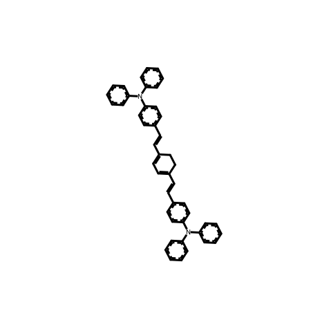 C1=C(/C=C/c2ccc(N(c3ccccc3)c3ccccc3)cc2)CCC(/C=C/c2ccc(N(c3ccccc3)c3ccccc3)cc2)=C1